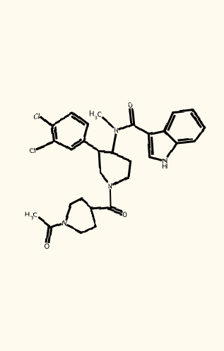 CC(=O)N1CCC(C(=O)N2CCC(N(C)C(=O)c3c[nH]c4ccccc34)C(c3ccc(Cl)c(Cl)c3)C2)CC1